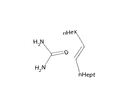 CCCCCCC=CCCCCCCC.NC(N)=O